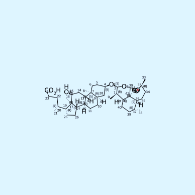 C[C@H]1[C@@H](O[C@@H]2CC[C@@]3(C)[C@H](CC[C@@H]4[C@@H]3C[C@H](O)[C@]3(C)[C@@H]([C@H](C)CCC(=O)O)CC[C@@H]43)C2)OC2O[C@@]3(C)CC[C@H]4[C@H](C)CC[C@@H]1[C@@]24OO3